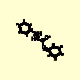 O=C(NNc1ccncc1)Oc1ccccc1